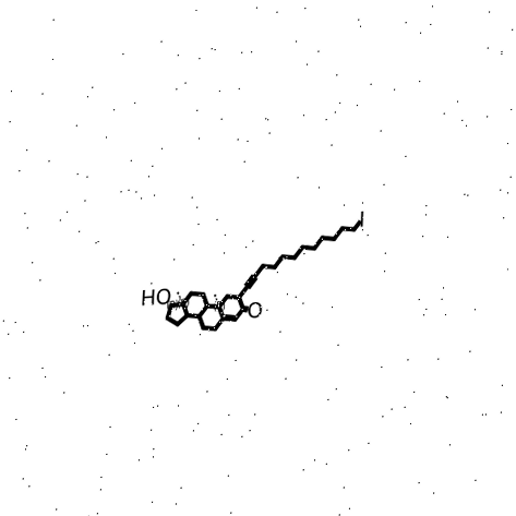 C[C@]12CC(C#CCCCCCCCCCCI)C(=O)C=C1CCC1C2CC[C@@]2(C)C1CC[C@H]2O